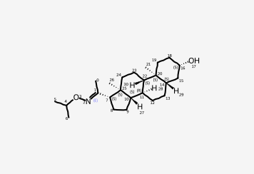 C/C(=N\OC(C)C)[C@H]1CC[C@H]2[C@@H]3CC[C@H]4C[C@@H](O)CC[C@]4(C)[C@H]3CC[C@]12C